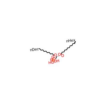 CCCCCC/C=C\CCCCCCCCCC(=O)OC[C@H](COP(=O)(O)O)OC(=O)CCCCCCCCCCCCCCCCCCC